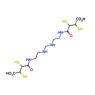 O=C(O)C(S)C(S)C(=O)NCCNCNCCNC(=O)C(S)C(S)C(=O)O